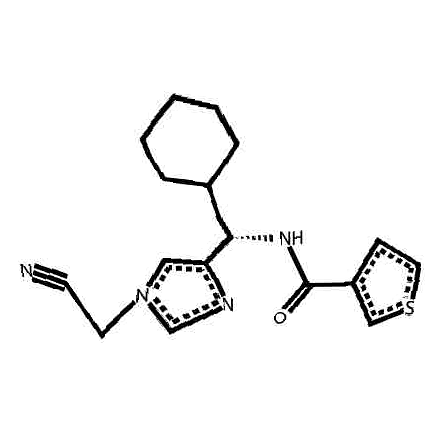 N#CCn1cnc([C@@H](NC(=O)c2ccsc2)C2CCCCC2)c1